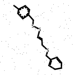 Cc1ccc(CSS/C=C/CSCC2=CCCC=C2)cc1